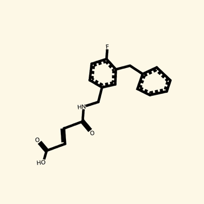 O=C(O)/C=C/C(=O)NCc1ccc(F)c(Cc2ccccc2)c1